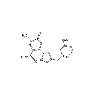 COc1cccc(Cc2cnc(-c3cc(=O)n(C)nc3C(N)=O)s2)c1